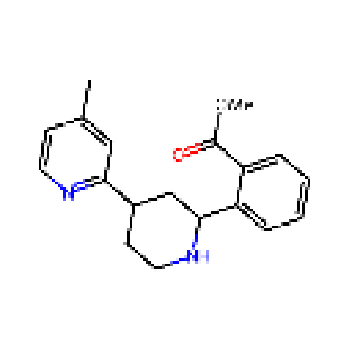 COC(=O)c1ccccc1C1CC(c2cc(C)ccn2)CCN1